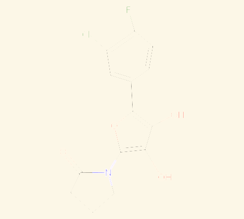 O=C1CCCN1c1oc(-c2ccc(F)c(Cl)c2)c(O)c1O